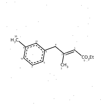 CCOC(=O)/C=C(\C)Cc1cccc(C)c1